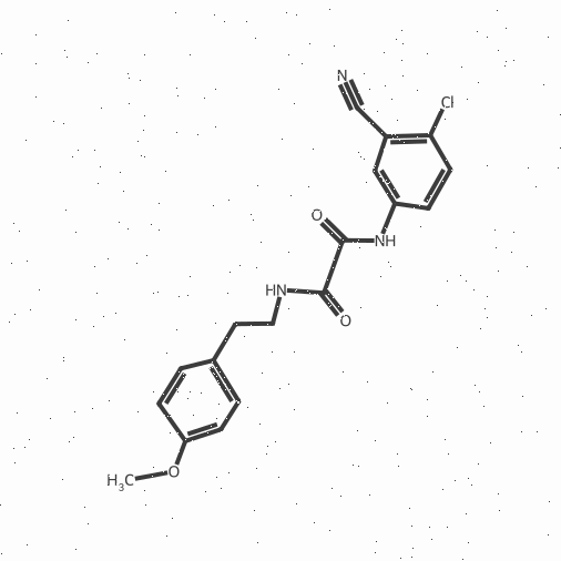 COc1ccc(CCNC(=O)C(=O)Nc2ccc(Cl)c(C#N)c2)cc1